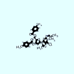 C=C1Sc2c(Cl)nc(/N=C\N(C)C)nc2N1[C@H]1C[C@H](OC(=O)c2ccc(C)cc2)[C@@H](COC(=O)c2ccc(C)cc2)O1